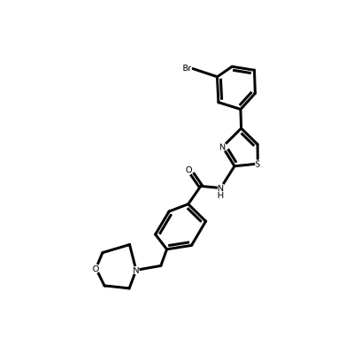 O=C(Nc1nc(-c2cccc(Br)c2)cs1)c1ccc(CN2CCOCC2)cc1